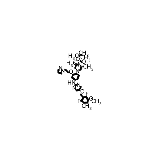 COc1cc(C)c(F)c(COc2cnc(Nc3ccc(N4C[C@@H](C)N(C(=O)OC(C)(C)C)[C@@H](C)C4)c(OCCn4cccn4)c3)nc2)c1F